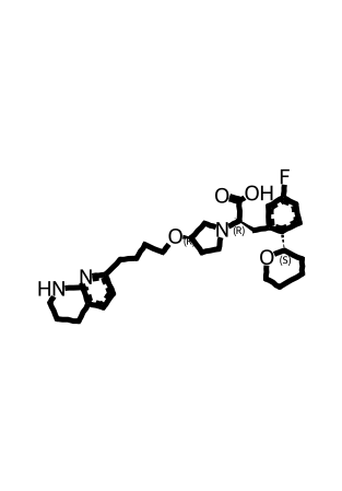 O=C(O)[C@@H](Cc1cc(F)ccc1[C@@H]1CCCCO1)N1CC[C@@H](OCCCCc2ccc3c(n2)NCCC3)C1